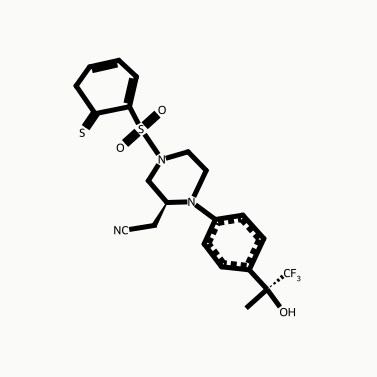 C[C@](O)(c1ccc(N2CCN(S(=O)(=O)C3=CC=CCC3=S)C[C@@H]2CC#N)cc1)C(F)(F)F